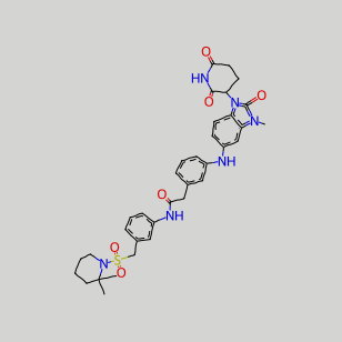 Cn1c(=O)n(C2CCC(=O)NC2=O)c2ccc(Nc3cccc(CC(=O)Nc4cccc(CS(=O)(=O)N5CCCCC5(C)C)c4)c3)cc21